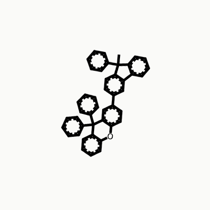 CC1(c2ccccc2)c2ccccc2-c2cc(-c3ccc4c(c3)C(c3ccccc3)(c3ccccc3)c3ccccc3O4)ccc21